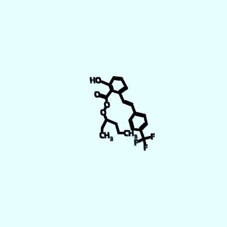 CCCC(CC)OOC(=O)c1c(O)cccc1C=Cc1ccc(C(F)(F)F)cc1